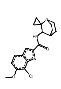 COc1ccc2cc(C(=O)NC3C4CCN(CC4)C34CC4)sc2c1Cl